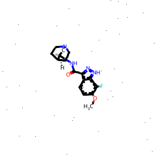 COc1ccc2c(C(=O)N[C@@H]3CN4CCC3CC4)n[nH]c2c1F